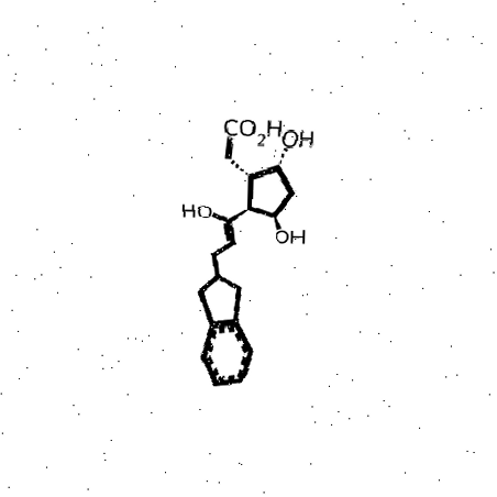 O=C(O)C[C@H]1[C@H](C(O)=CCC2Cc3ccccc3C2)[C@H](O)C[C@H]1O